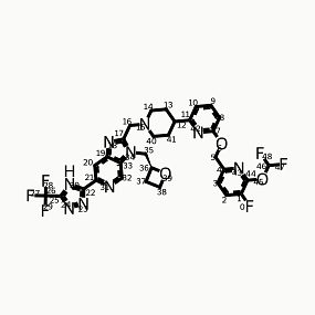 Fc1ccc(COc2cccc(C3CCN(Cc4nc5cc(-c6nnc(C(F)(F)F)[nH]6)ncc5n4C[C@@H]4CCO4)CC3)n2)nc1OC(F)F